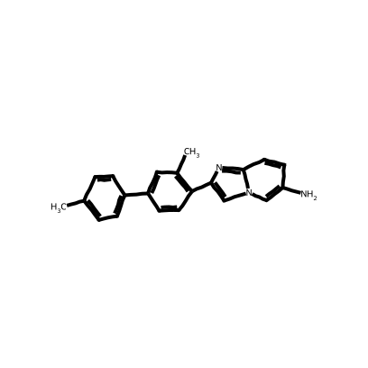 Cc1ccc(-c2ccc(-c3cn4cc(N)ccc4n3)c(C)c2)cc1